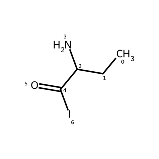 CCC(N)C(=O)I